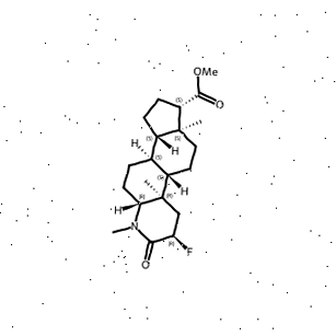 COC(=O)[C@H]1CC[C@H]2[C@@H]3CC[C@H]4N(C)C(=O)[C@H](F)C[C@]4(C)[C@H]3CC[C@]12C